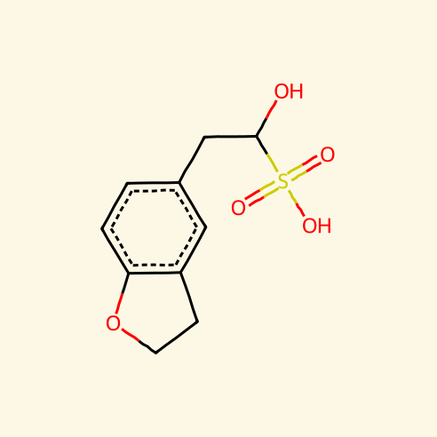 O=S(=O)(O)C(O)Cc1ccc2c(c1)CCO2